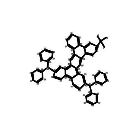 CC(C)(C)c1ccc2c(c1)c1ccccc1c1cc3c4cc(N(c5ccccc5)c5ccccc5)ccc4c4ccc(N(c5ccccc5)c5ccccc5)cc4c3cc21